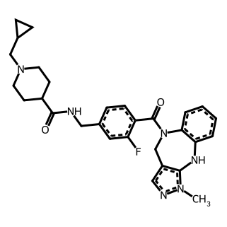 Cn1ncc2c1Nc1ccccc1N(C(=O)c1ccc(CNC(=O)C3CCN(CC4CC4)CC3)cc1F)C2